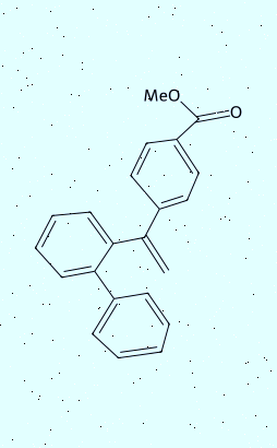 C=C(c1ccc(C(=O)OC)cc1)c1ccccc1-c1ccccc1